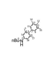 CCCCNc1cc(C)c(-c2cc(C)c(C)c(C)c2)c(C)c1